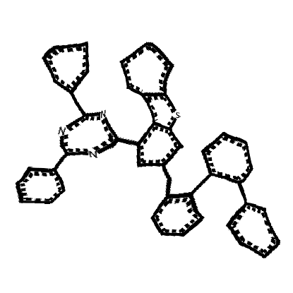 c1ccc(-c2nc(-c3ccccc3)nc(-c3cc(-c4ccccc4-c4ccccc4-c4ccccc4)cc4sc5ccccc5c34)n2)cc1